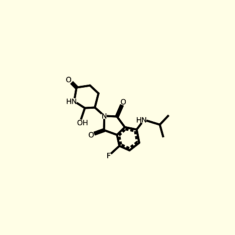 CC(C)Nc1ccc(F)c2c1C(=O)N(C1CCC(=O)NC1O)C2=O